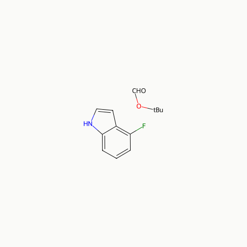 CC(C)(C)OC=O.Fc1cccc2[nH]ccc12